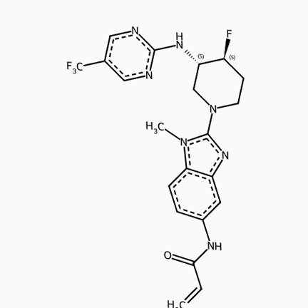 C=CC(=O)Nc1ccc2c(c1)nc(N1CC[C@H](F)[C@@H](Nc3ncc(C(F)(F)F)cn3)C1)n2C